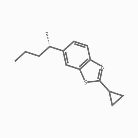 CCC[C@H](C)c1ccc2nc(C3CC3)sc2c1